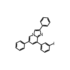 Ic1cccc(-c2cc(-c3ccccc3)cn3cc(-c4ccccc4)nc23)c1